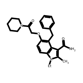 CCn1c(C)c(C(N)=O)c2c(Cc3ccccc3)c(OCC(=O)N3CCCCC3)ccc21